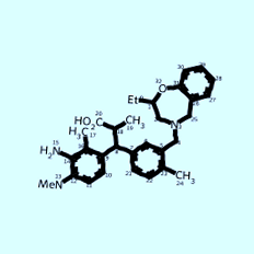 CCC1CN(Cc2cc(C(c3ccc(NC)c(N)c3C)C(C)C(=O)O)ccc2C)Cc2ccccc2O1